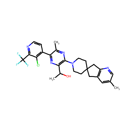 Cc1cnc2c(c1)CC1(CCN(c3nc(C)c(-c4ccnc(C(F)(F)F)c4Cl)nc3C(C)O)CC1)C2